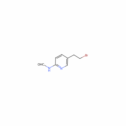 O=CNc1ccc(CCBr)cn1